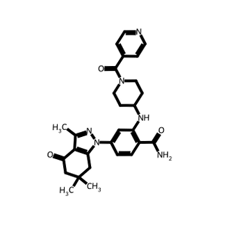 Cc1nn(-c2ccc(C(N)=O)c(NC3CCN(C(=O)c4ccncc4)CC3)c2)c2c1C(=O)CC(C)(C)C2